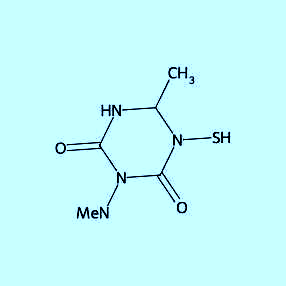 CNN1C(=O)NC(C)N(S)C1=O